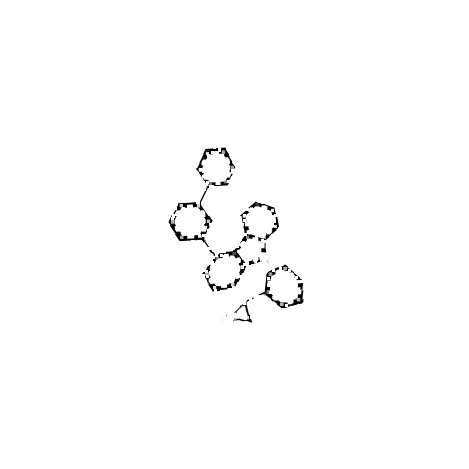 c1ccc(-c2cccc(-c3ccc([C@]4(c5ccccc5)CN4)c4[nH]c5ccccc5c34)c2)cc1